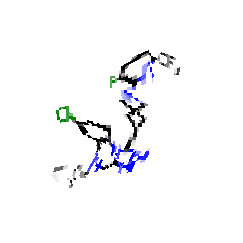 Fc1ccc(C(F)(F)F)nc1N1CC2(CC(c3nnc4n3-c3ccc(Cl)cc3CN(CC(F)(F)F)C4)C2)C1